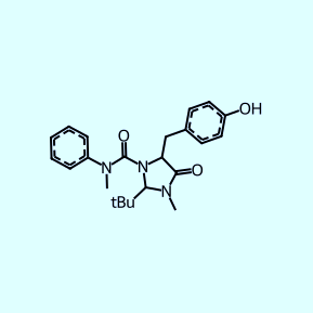 CN(C(=O)N1C(Cc2ccc(O)cc2)C(=O)N(C)C1C(C)(C)C)c1ccccc1